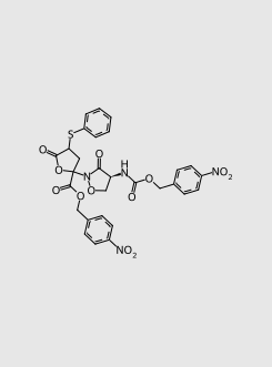 O=C(N[C@H]1CON(C2(C(=O)OCc3ccc([N+](=O)[O-])cc3)CC(Sc3ccccc3)C(=O)O2)C1=O)OCc1ccc([N+](=O)[O-])cc1